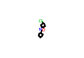 Clc1ccc2oc(-c3cc[c]cc3)nc2c1